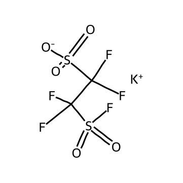 O=S(=O)([O-])C(F)(F)C(F)(F)S(=O)(=O)F.[K+]